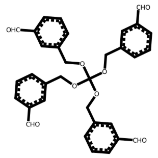 O=Cc1cccc(COC(OCc2cccc(C=O)c2)(OCc2cccc(C=O)c2)OCc2cccc(C=O)c2)c1